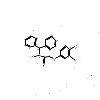 CC(=O)c1cc(OCC(=O)N(C)C(c2ccccc2)c2ccccc2)ccc1[N+](=O)[O-]